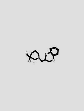 CC1(CCl)CCCN(CC2COc3ccccc3O2)C1